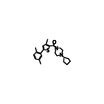 Cc1ccc(C)c(-c2cc(C)c(C(=O)N3CCN(C4CCCC4)CC3)s2)c1